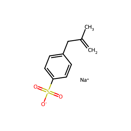 C=C(C)Cc1ccc(S(=O)(=O)[O-])cc1.[Na+]